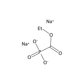 CCOC(=O)P(=O)([O-])[O-].[Na+].[Na+]